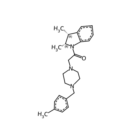 Cc1ccc(CN2CCN(CC(=O)N3c4ccccc4[C@@H](C)[C@H]3C)CC2)cc1